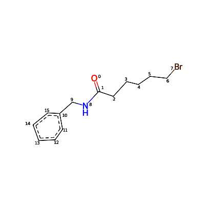 O=C(CCCCCBr)NCc1ccccc1